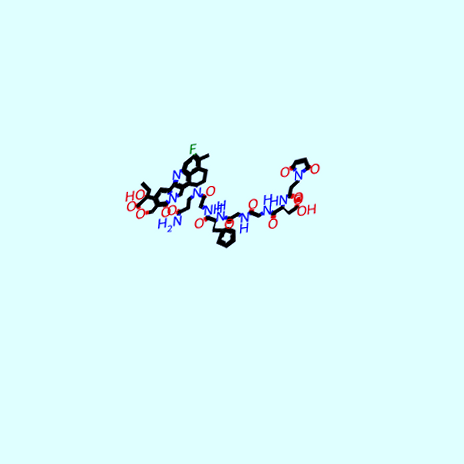 CC[C@@]1(O)C(=O)OCc2c1cc1n(c2=O)Cc2c-1nc1cc(F)c(C)c3c1c2[C@@H](N(CCC(N)=O)C(=O)CNC(=O)[C@H](Cc1ccccc1)NC(=O)CNC(=O)CNC(=O)[C@H](CC(=O)O)NC(=O)CCN1C(=O)C=CC1=O)CC3